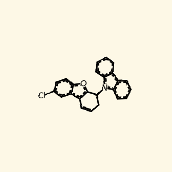 Clc1ccc2oc3c(c2c1)C=CCC3n1c2ccccc2c2ccccc21